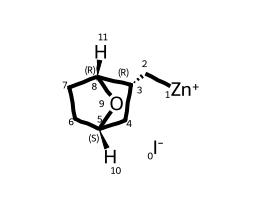 [I-].[Zn+][CH2][C@@H]1C[C@@H]2CC[C@H]1O2